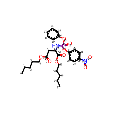 CCCCCOC(=O)CC(NP(=O)(Oc1ccccc1)Oc1ccc([N+](=O)[O-])cc1)C(=O)OCCCCC